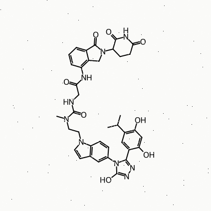 CC(C)c1cc(-c2nnc(O)n2-c2ccc3c(ccn3CCN(C)C(=O)NCC(=O)Nc3cccc4c3CN(C3CCC(=O)NC3=O)C4=O)c2)c(O)cc1O